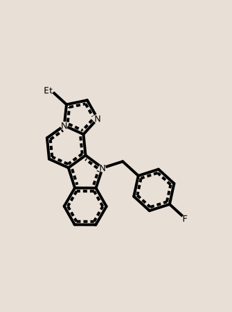 CCc1cnc2c3c(ccn12)c1ccccc1n3Cc1ccc(F)cc1